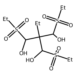 CCC(C(O)S(=O)(=O)CC)(C(O)S(=O)(=O)CC)C(O)S(=O)(=O)CC